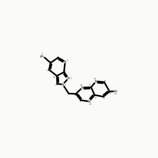 CC(C)c1cnc2nn(Cc3cnc4cc(C(C)C)cnc4n3)cc2c1